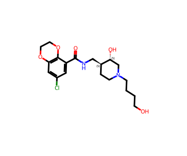 O=C(NC[C@@H]1CCN(CCCCO)C[C@H]1O)c1cc(Cl)cc2c1OCCO2